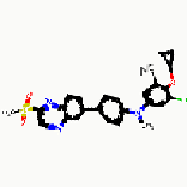 CN(c1ccc(-c2ccc3nc(S(C)(=O)=O)cnc3c2)cc1)c1cc(Cl)c(OC2CC2)c(C#N)c1